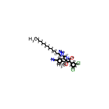 CCCCCCCCCCCCCc1cn([C@@H]2CN3C(=O)C(c4cc(Cl)cc(Cl)c4)=C(OC)[C@]3(Cc3ccc(C#N)cc3)C2)nn1